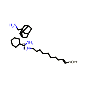 CCCCCCCCC=CCCCCCCCCN.C[C@H](N)C1CCCCC1.NCC12CC3CC(CC(C3)C1)C2